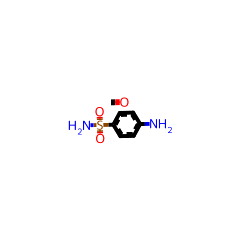 C=O.Nc1ccc(S(N)(=O)=O)cc1